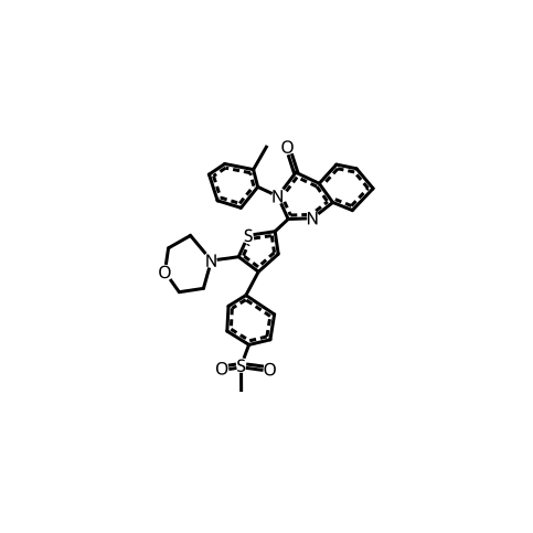 Cc1ccccc1-n1c(-c2cc(-c3ccc(S(C)(=O)=O)cc3)c(N3CCOCC3)s2)nc2ccccc2c1=O